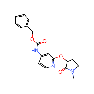 CN1CCC(Oc2cc(NC(=O)OCc3ccccc3)ccn2)C1=O